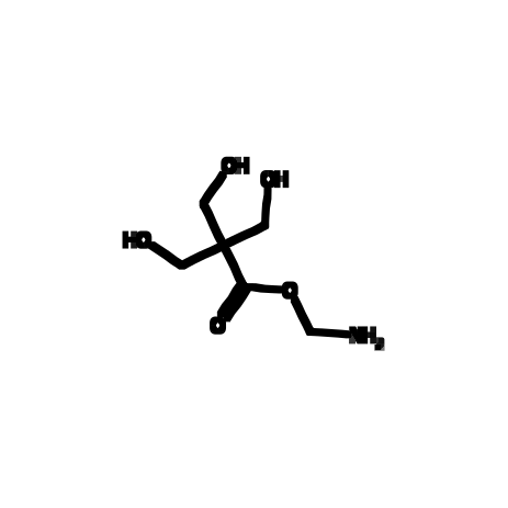 NCOC(=O)C(CO)(CO)CO